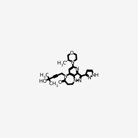 C[C@@H]1COCCN1c1cc2c3c(n1)c(-c1cc[nH]n1)nn3CCC(=O)N2CC#CC(C)(C)O